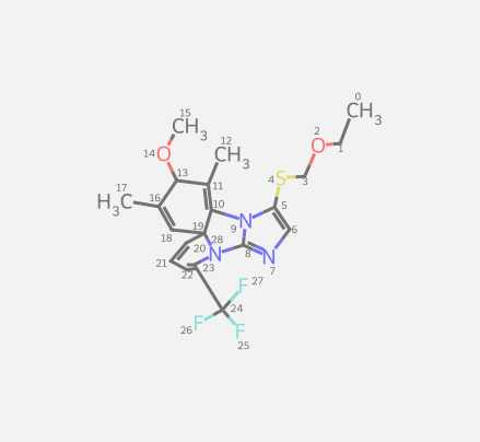 CCOCSc1cnc2n1C1=C(C)C(OC)C(C)=CC13C=CC=C(C(F)(F)F)N23